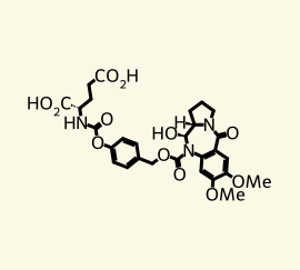 COc1cc2c(cc1OC)N(C(=O)OCc1ccc(OC(=O)N[C@@H](CCC(=O)O)C(=O)O)cc1)[C@@H](O)[C@@H]1CCCN1C2=O